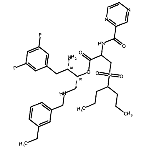 CCCC(CCC)S(=O)(=O)CC(NC(=O)c1cnccn1)C(=O)O[C@H](CNCc1cccc(CC)c1)[C@@H](N)Cc1cc(F)cc(F)c1